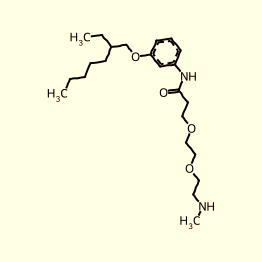 CCCCCC(CC)COc1cccc(NC(=O)CCOCCOCCNC)c1